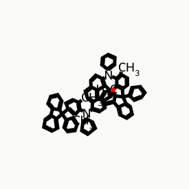 Cc1ccc(C2(c3ccccc3)c3ccccc3-c3ccccc32)c(C)c1N(c1ccccc1)c1ccc2ccc3c(N(c4ccccc4)c4c(C)ccc(C5(c6ccccc6)c6ccccc6-c6ccccc65)c4C)ccc4ccc1c2c43